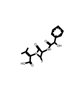 CC(C)=C(C(=O)O)N1C(=O)C(NC(=O)C(O)c2ccccc2)C1F